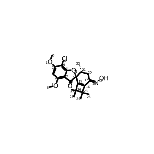 COc1cc(OC)c2c(c1Cl)O[C@]1(C2=O)C2=C(/C(=N/O)C[C@H]1C)C(C)(C)C2(C)C